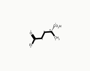 CCC(=O)CC[C@@H](C)C(=O)O